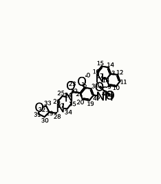 COc1cc(NS(=O)(=O)c2cccc3cccnc23)ccc1C(=O)N1CCN(CC2CCOC2)CC1